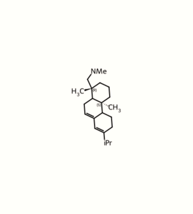 CNC[C@]1(C)CCC[C@@]2(C)C3CCC(C(C)C)=CC3=CCC12